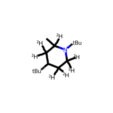 [2H]C1([2H])C(C(C)(C)C)C([2H])([2H])C([2H])(C)N(C(C)(C)C)C1([2H])[2H]